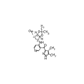 Cc1[nH]nc(C(=O)c2cnccc2N[C@@H]2C[C@H](CP=O)[C@H]3OC(C)(C)O[C@H]32)c1C